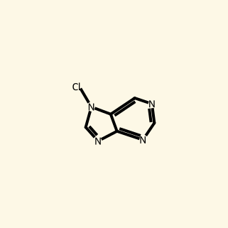 Cln1cnc2ncncc21